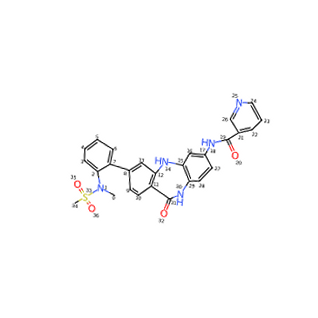 CN(c1ccccc1-c1ccc2c(c1)Nc1cc(NC(=O)c3cccnc3)ccc1NC2=O)S(C)(=O)=O